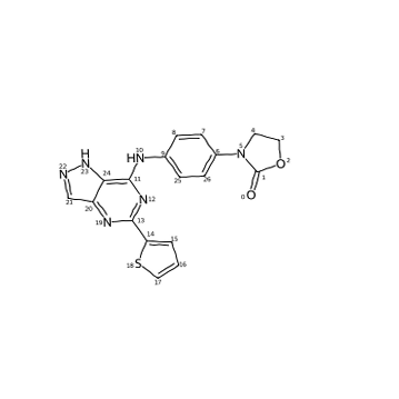 O=C1OCCN1c1ccc(Nc2nc(-c3cccs3)nc3cn[nH]c23)cc1